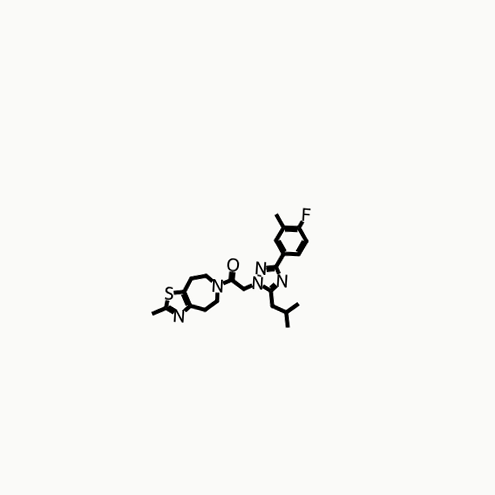 Cc1nc2c(s1)CCN(C(=O)Cn1nc(-c3ccc(F)c(C)c3)nc1CC(C)C)CC2